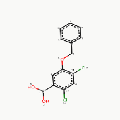 OB(O)c1cc(OCc2ccccc2)c(Cl)cc1Cl